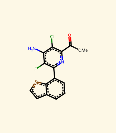 COC(=O)c1nc(-c2cccc3ccsc23)c(F)c(N)c1Cl